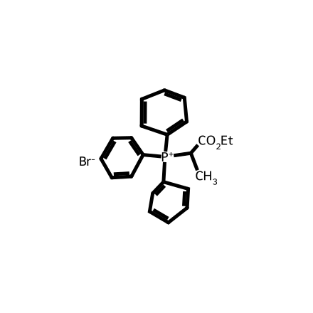 CCOC(=O)C(C)[P+](c1ccccc1)(c1ccccc1)c1ccccc1.[Br-]